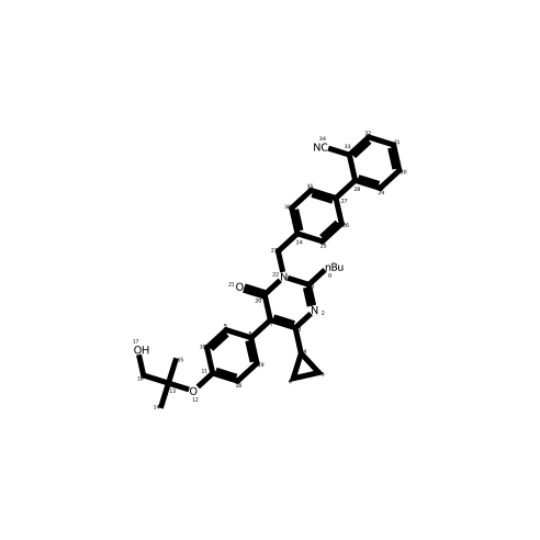 CCCCc1nc(C2CC2)c(-c2ccc(OC(C)(C)CO)cc2)c(=O)n1Cc1ccc(-c2ccccc2C#N)cc1